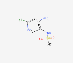 CC(=O)S(=O)(=O)Nc1cnc(Cl)cc1N